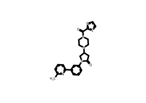 Cc1cccc(-c2cccc(N3CC(N4CCN(C(=O)c5nccs5)CC4)CC3=O)c2)n1